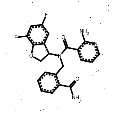 NC(=O)c1ccccc1CN(C(=O)c1cccnc1N)C1COc2c(F)cc(F)cc21